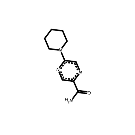 NC(=O)c1cnc(N2CCCCC2)cn1